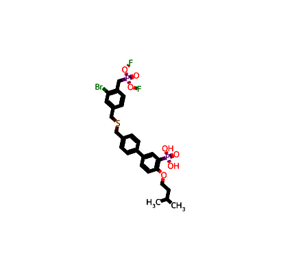 CC(C)CCOc1ccc(-c2ccc(CSCc3ccc(CP(=O)(OF)OF)c(Br)c3)cc2)cc1P(=O)(O)O